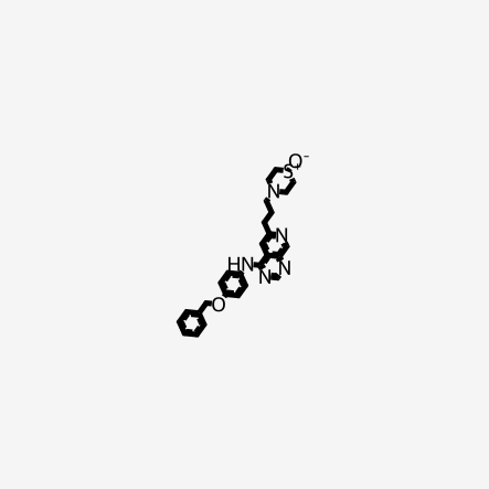 [O-][S+]1CCN(CCCc2cc3c(Nc4ccc(OCc5ccccc5)cc4)ncnc3cn2)CC1